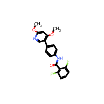 COc1cc(OC)c(-c2ccc(NC(=O)c3c(F)cccc3F)cc2)cn1